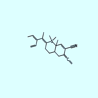 C=C=C1CC2CC/C(=C(C)\C(C=C)=C\C)S(C)(C)C2(C)C=C1C#N